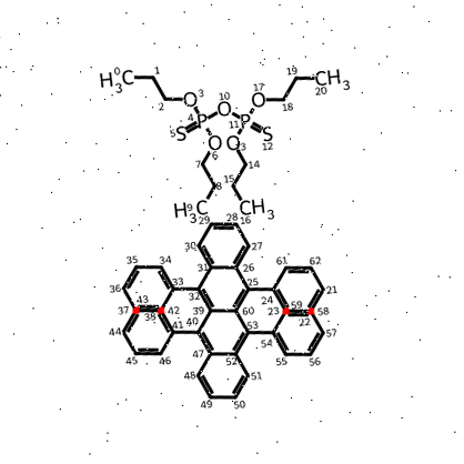 CCCOP(=S)(OCCC)OP(=S)(OCCC)OCCC.c1ccc(-c2c3ccccc3c(-c3ccccc3)c3c(-c4ccccc4)c4ccccc4c(-c4ccccc4)c23)cc1